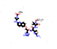 CC(C)(C)OC(=O)N1CC(Nc2ccc3cc(OCC(O/N=C(\C(=O)NC4C(=O)N(OS(=O)(=O)O)C4(C)C)c4csc(N)n4)c4nn[nH]n4)ccc3n2)C1